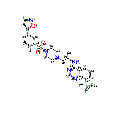 Cc1ccc(-c2ccno2)cc1S(=O)(=O)N1CCN(CC(C)Nc2ncnc3c(C(F)(F)F)cccc23)CC1